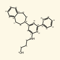 OCCCNc1cc(N2CCc3ccccc3CC2)nc(-c2ccccn2)n1